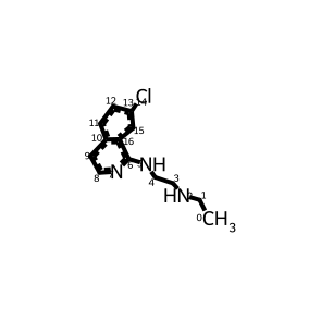 CCNCCNc1nccc2ccc(Cl)cc12